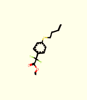 CCCCSc1ccc(C(F)(F)C(=O)OC)cc1